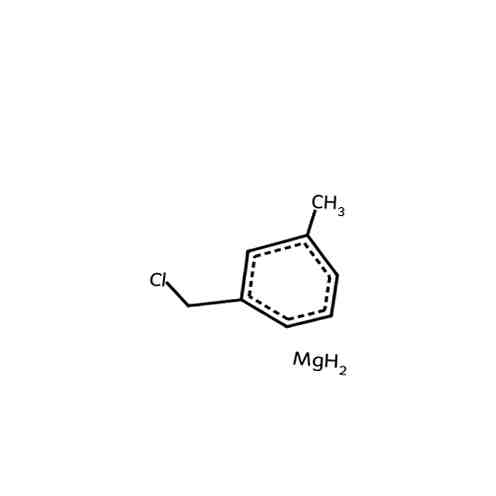 Cc1cccc(CCl)c1.[MgH2]